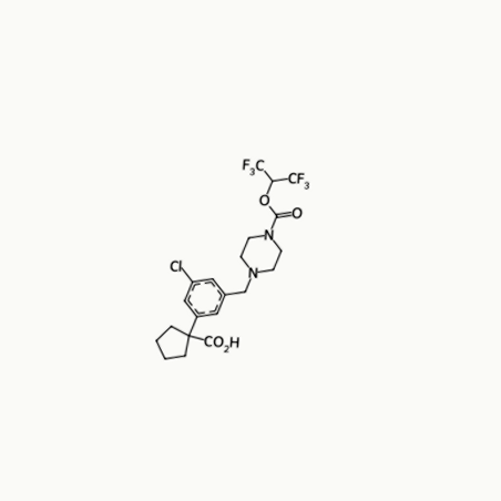 O=C(OC(C(F)(F)F)C(F)(F)F)N1CCN(Cc2cc(Cl)cc(C3(C(=O)O)CCCC3)c2)CC1